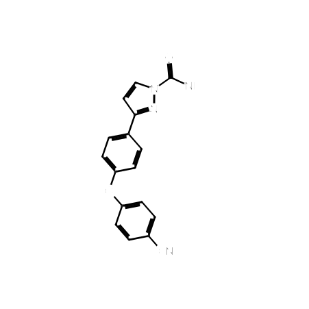 N#Cc1ccc(Oc2ccc(-c3ccn(C(N)=O)n3)cc2)cc1